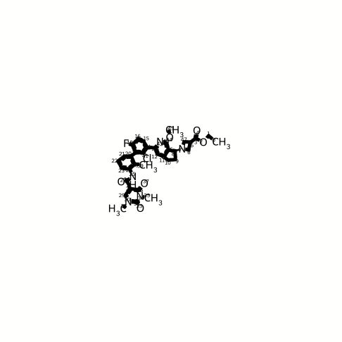 CCOC(=O)C1CN([C@H]2CCc3cc(-c4ccc(F)c(-c5cccc(NC(=O)c6cn(C)c(=O)n(C)c6=O)c5C)c4Cl)nc(OC)c32)C1